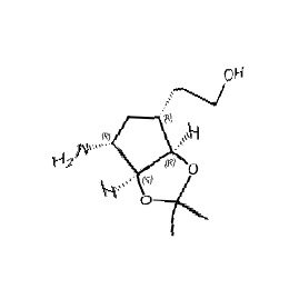 CC1(C)O[C@@H]2[C@@H](CCO)C[C@@H](N)[C@@H]2O1